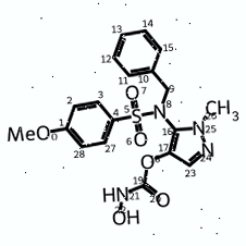 COc1ccc(S(=O)(=O)N(Cc2ccccc2)c2c(OC(=O)NO)cnn2C)cc1